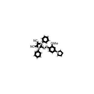 COc1cc(N2CCCC2)ccc1/N=N/c1n(-c2ccccc2)c(C#N)c(C#N)[n+]1-c1ccccc1